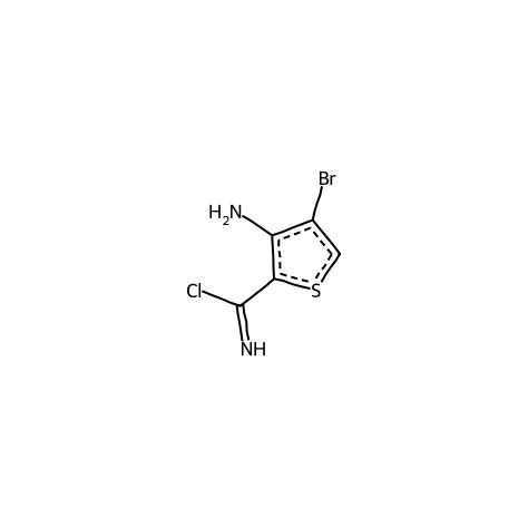 N=C(Cl)c1scc(Br)c1N